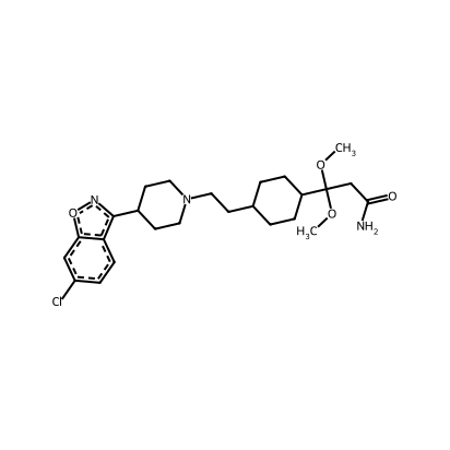 COC(CC(N)=O)(OC)C1CCC(CCN2CCC(c3noc4cc(Cl)ccc34)CC2)CC1